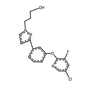 OCCCn1ccc(-c2cccc(Oc3ncc(Cl)cc3F)c2)n1